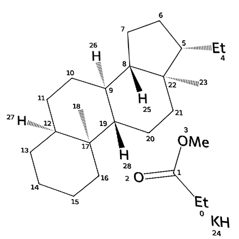 CCC(=O)OC.CC[C@H]1CC[C@H]2[C@@H]3CC[C@@H]4CCCC[C@]4(C)[C@H]3CC[C@]12C.[KH]